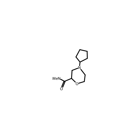 CNC(=O)C1CN(C2CCCC2)CCO1